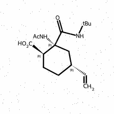 C=C[C@@H]1CC[C@@H](C(=O)O)[C@@](NC(C)=O)(C(=O)NC(C)(C)C)C1